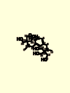 CN(Cc1cncc(CN(C)C(CO)(CO)CO)c1)C(CO)(CO)CO